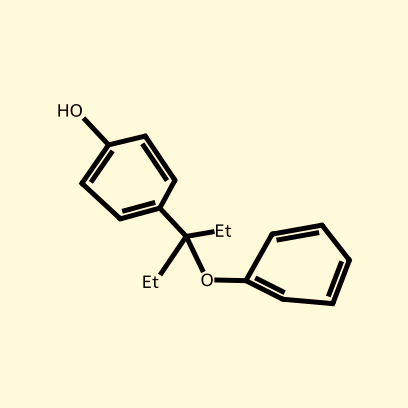 CCC(CC)(Oc1ccccc1)c1ccc(O)cc1